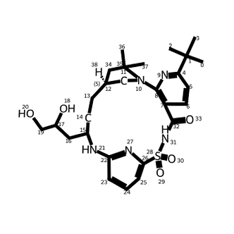 CC(C)(C)c1ccc2c(n1)N1C[C@@H](CCC(CC(O)CO)Nc3cccc(n3)S(=O)(=O)NC2=O)CC1(C)C